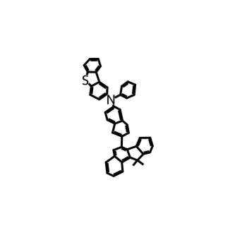 CC1(C)c2ccccc2-c2c(-c3ccc4cc(N(c5ccccc5)c5ccc6sc7ccccc7c6c5)ccc4c3)cc3ccccc3c21